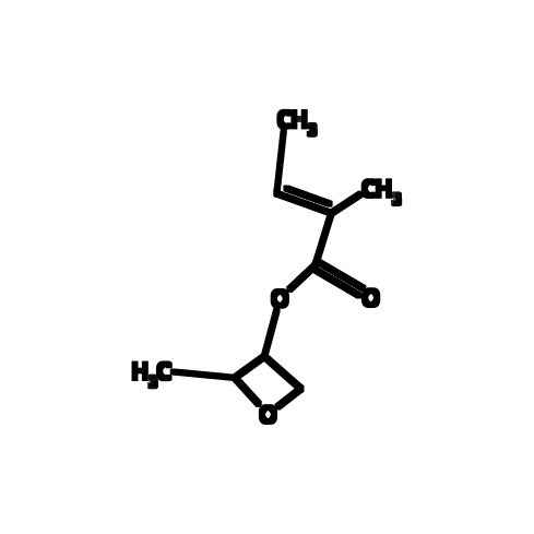 CC=C(C)C(=O)OC1COC1C